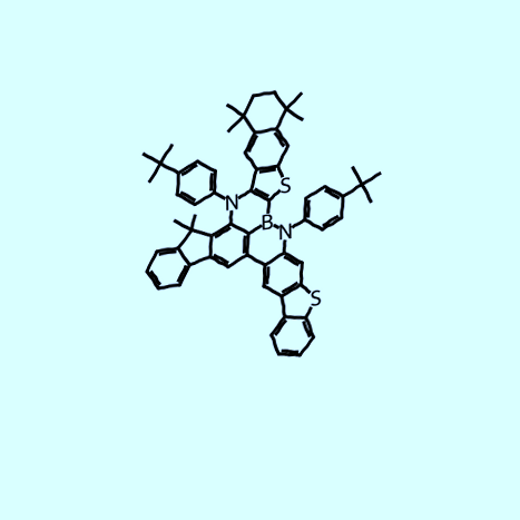 CC(C)(C)c1ccc(N2B3c4sc5cc6c(cc5c4N(c4ccc(C(C)(C)C)cc4)c4c3c(cc3c4C(C)(C)c4ccccc4-3)-c3cc4c(cc32)sc2ccccc24)C(C)(C)CCC6(C)C)cc1